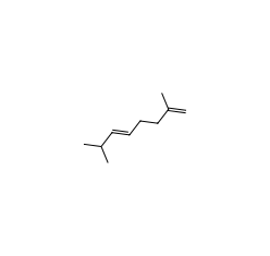 C=C(C)CCC=CC(C)C